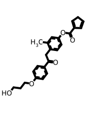 Cc1cc(OC(=O)C2=CCC=C2)ccc1CC(=O)c1ccc(OCCCO)cc1